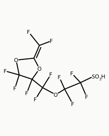 O=S(=O)(O)C(F)(F)C(F)(F)OC(F)(F)C1(F)OC(=C(F)F)OC1(F)F